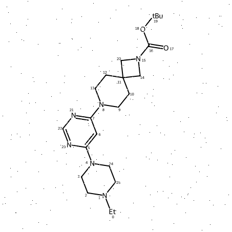 CCN1CCN(c2cc(N3CCC4(CC3)CN(C(=O)OC(C)(C)C)C4)ncn2)CC1